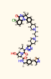 Cc1ncsc1-c1ccc([C@H](C)NC(=O)[C@@H]2C[C@@H](O)CN2C(=O)[C@H](C(C)C)n2cc(C3CCN(CCCN4CCC(c5ccc6c(c5)-n5c(nc(=O)c7c(Cl)cccc75)C6(C)C)CC4)CC3)nn2)cc1